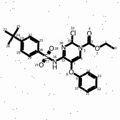 CCOC(=O)N1C=C(Oc2ccccc2)C(NS(=O)(=O)c2ccc(C(C)(C)C)cc2)=NC1Cl